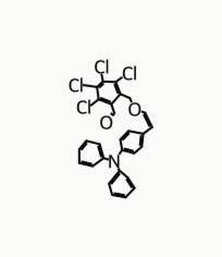 O=Cc1c(Cl)c(Cl)c(Cl)c(Cl)c1CO/C=C\c1ccc(N(c2ccccc2)c2ccccc2)cc1